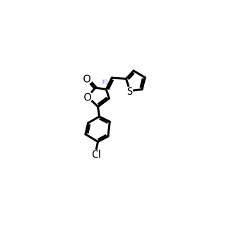 O=C1OC(c2ccc(Cl)cc2)=C/C1=C\c1cccs1